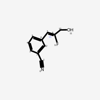 N#Cc1cccc(/C=C(\F)CO)c1